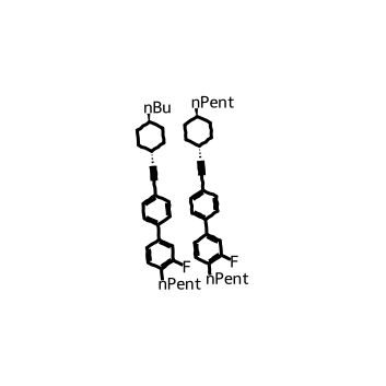 CCCCCc1ccc(-c2ccc(C#C[C@H]3CC[C@H](CCCC)CC3)cc2)cc1F.CCCCCc1ccc(-c2ccc(C#C[C@H]3CC[C@H](CCCCC)CC3)cc2)cc1F